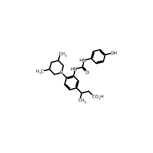 CC1CC(C)CN(c2ccc(C(C)CC(=O)O)cc2NC(=O)Nc2ccc(O)cc2)C1